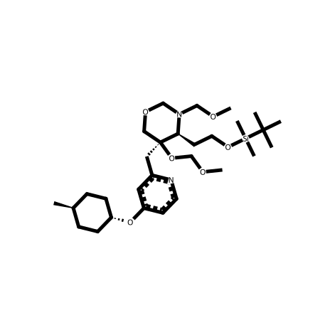 COCO[C@@]1(Cc2cc(O[C@H]3CC[C@H](C)CC3)ccn2)COCN(COC)[C@H]1CCO[Si](C)(C)C(C)(C)C